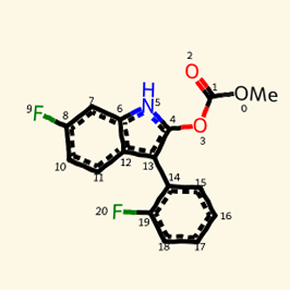 COC(=O)Oc1[nH]c2cc(F)ccc2c1-c1ccccc1F